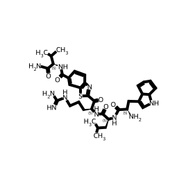 CC(C)C[C@H](NC(=O)[C@@H](N)CC1=CNC2C=CC=CC12)C(=O)N[C@@H](CCCNC(=N)N)C(=O)c1nc2ccc(C(=O)N[C@H](C(N)=O)C(C)C)cc2s1